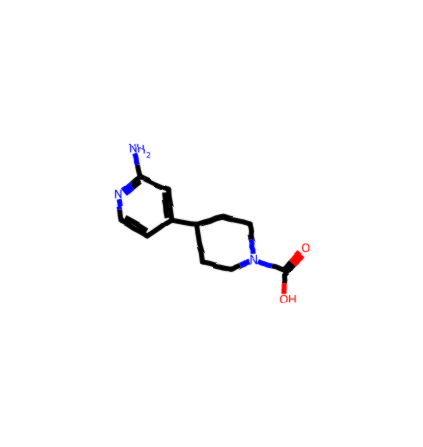 Nc1cc(C2CCN(C(=O)O)CC2)ccn1